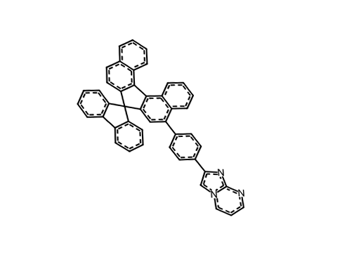 c1ccc2c(c1)-c1ccccc1C21c2ccc3ccccc3c2-c2c1cc(-c1ccc(-c3cn4cccnc4n3)cc1)c1ccccc21